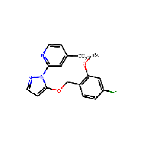 CCCCOc1cc(F)ccc1COc1ccnn1-c1cc(C(=O)O)ccn1